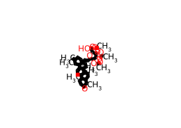 CC(=O)OC1C(CCC23CCC(C)(C)CC2C2=CCC4C5(C)CCC(=O)C(C)C5CCC4(C)[C@]2(C)CC3)OC(C(=O)O)C(OC(C)=O)C1OC(C)=O